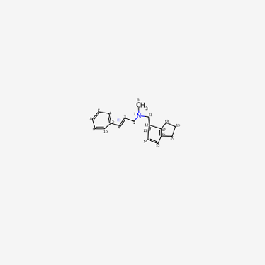 CN(C/C=C/c1ccccc1)Cc1cccc2c1CCC2